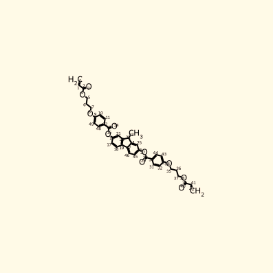 C=CC(=O)OCCCOc1ccc(C(=O)Oc2ccc3c(c2)C(C)c2cc(OC(=O)c4ccc(OCCCOC(=O)C=C)cc4)ccc2-3)cc1